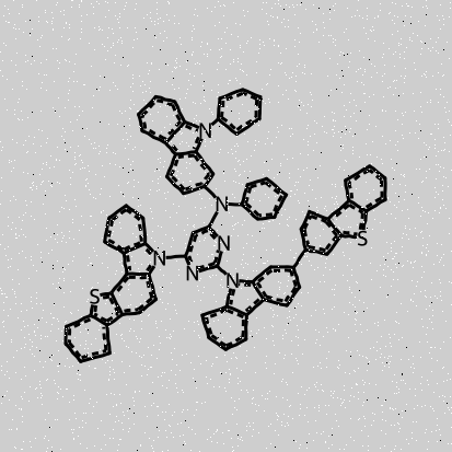 c1ccc(N(c2ccc3c4ccccc4n(-c4ccccc4)c3c2)c2cc(-n3c4ccccc4c4c5sc6ccccc6c5ccc43)nc(-n3c4ccccc4c4ccc(-c5ccc6c(c5)sc5ccccc56)cc43)n2)cc1